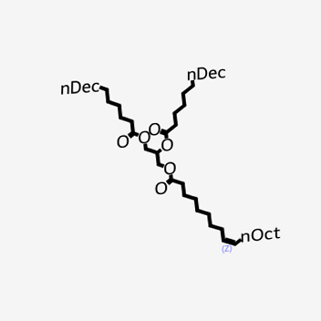 CCCCCCCC/C=C\CCCCCCCC(=O)OCC(COC(=O)CCCCCCCCCCCCCCC)OC(=O)CCCCCCCCCCCCCCC